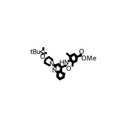 COC(=O)c1cc(C)c(NC(=O)c2cc(N3CCC(O[Si](C)(C)C(C)(C)C)CC3)nc3ccccc23)c(C)c1